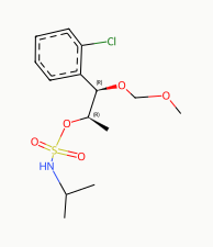 COCO[C@H](c1ccccc1Cl)[C@@H](C)OS(=O)(=O)NC(C)C